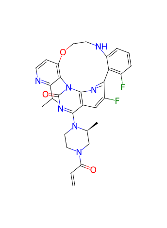 C=CC(=O)N1CCN(c2nc(=O)n3c4nc(c(F)cc24)-c2c(F)cccc2NCCOc2ccnc(C(C)C)c2-3)[C@@H](C)C1